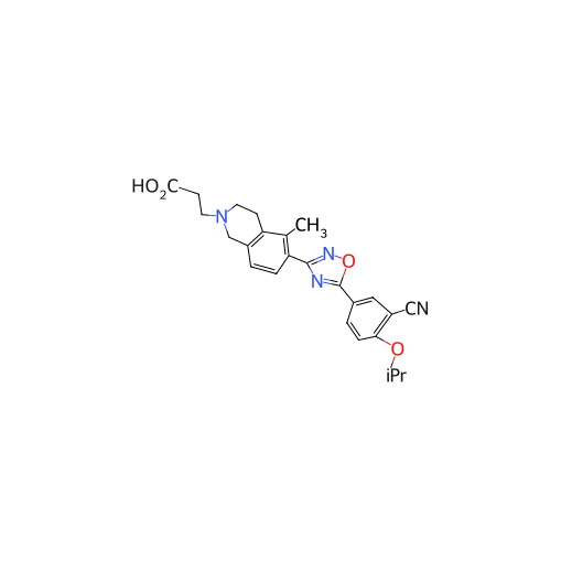 Cc1c(-c2noc(-c3ccc(OC(C)C)c(C#N)c3)n2)ccc2c1CCN(CCC(=O)O)C2